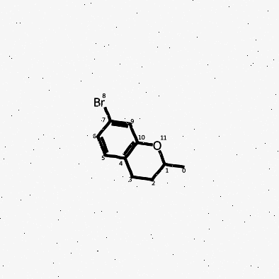 CC1CCc2ccc(Br)cc2O1